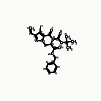 C=Cc1nn2c(c1I)C(=O)N(C(=O)OC(C)(C)C)C(C(=O)OCc1ccccc1)C2